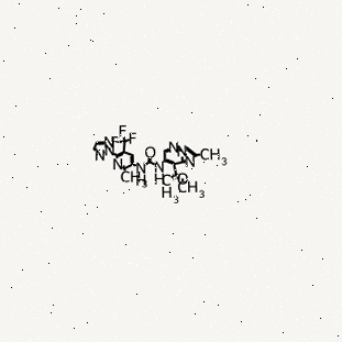 CO[C@@H](C)c1c(NC(=O)Nc2cc(C(F)(F)F)c(-n3nccn3)nc2C)cnn2cc(C)nc12